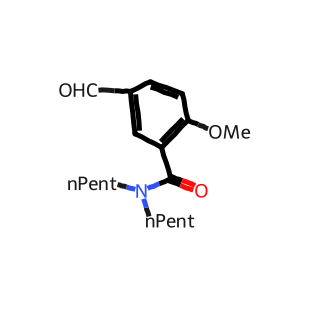 CCCCCN(CCCCC)C(=O)c1cc(C=O)ccc1OC